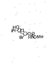 CONC(=O)COC1=CC(Br)=C(Cc2ccc(O)c(C(C)C)c2)C(Cl)C1